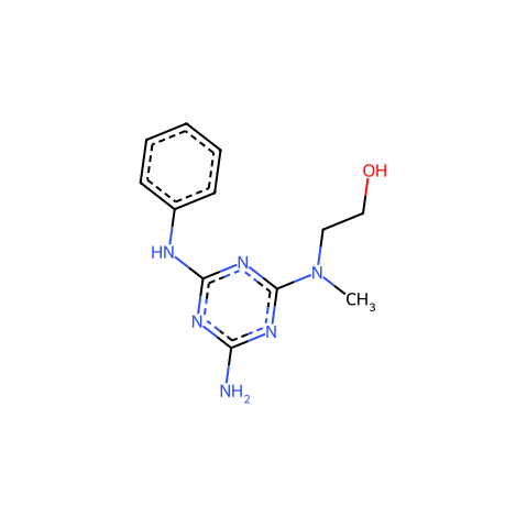 CN(CCO)c1nc(N)nc(Nc2ccccc2)n1